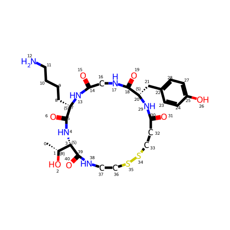 C[C@@H](O)[C@@H]1NC(=O)[C@H](CCCCN)NC(=O)CNC(=O)[C@H](Cc2ccc(O)cc2)NC(=O)CCSSCCNC1=O